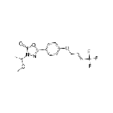 COC(C)n1nc(-c2ccc(OC/C=C/C(F)(F)F)cc2)oc1=O